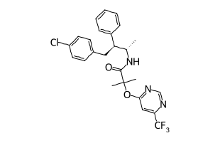 C[C@H](NC(=O)C(C)(C)Oc1cc(C(F)(F)F)ncn1)[C@@H](Cc1ccc(Cl)cc1)c1ccccc1